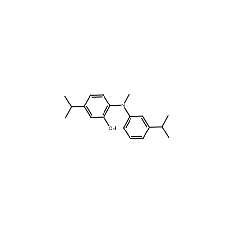 CC(C)c1cccc(N(C)c2ccc(C(C)C)cc2O)c1